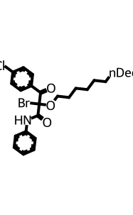 CCCCCCCCCCCCCCCCOC(Br)(C(=O)Nc1ccccc1)C(=O)c1ccc(Cl)cc1